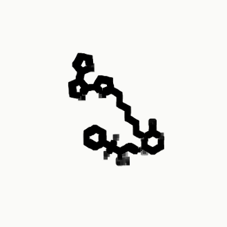 O=C1SCC[C@H](C=C[C@@H](O)C(F)(F)c2ccccc2)N1CCCCCCC1=NC(C2=NC=CC2=C2C=CC=N2)C=C1